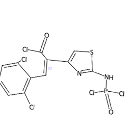 O=C(Cl)/C(=C\c1c(Cl)cccc1Cl)c1csc(NP(=O)(Cl)Cl)n1